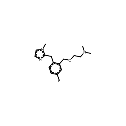 CN(C)CCOCc1cc(F)ccc1Cc1nccn1C